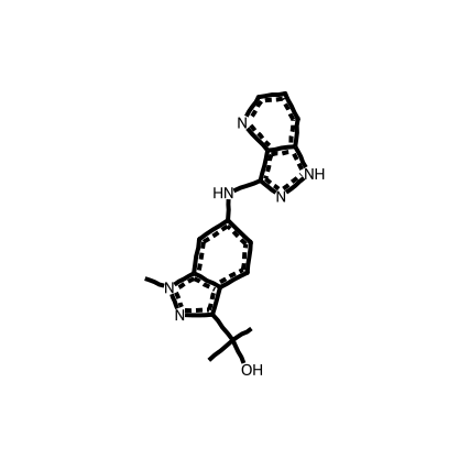 Cn1nc(C(C)(C)O)c2ccc(Nc3n[nH]c4cccnc34)cc21